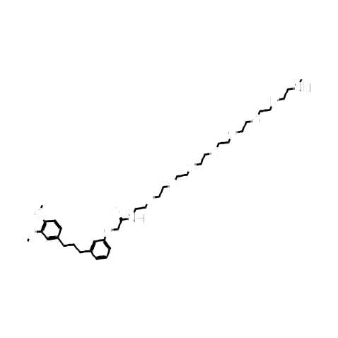 CNCCOCCOCCOCCOCCOCCOCCOCCNC(=O)COc1cccc(CCCc2ccc(OC)c(OC)c2)c1